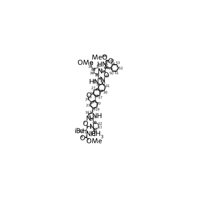 CC[C@H](C)C(NC(=O)OC)C(=O)N1[C@@H](C)CC[C@H]1c1ncc(-c2ccc3c(c2)COc2cc4c(ccc5nc([C@@H]6C[C@H](COC)CN6C(=O)[C@H](NC(=O)OC)c6ccccc6)[nH]c54)cc2-3)[nH]1